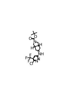 CC(C)(C)OC(=O)N1C[C@H]2C[C@H](Nc3cc(C(F)(F)F)c(Cl)nn3)C[C@H]2C1